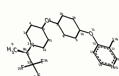 C[C@@H](N1CCC(OC2CCC(Oc3ccncc3I)CC2)CC1)C(F)(F)F